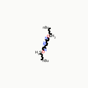 CCCCC(C)CCCC(C)[SiH2]Oc1ccc(-c2ccc(-c3ccc(O[SiH2]C(C)CCCC(C)CCCC)nc3)nn2)cn1